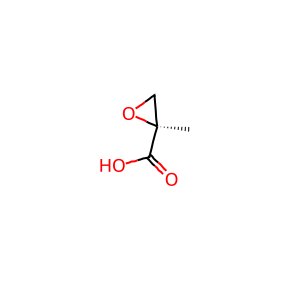 C[C@@]1(C(=O)O)CO1